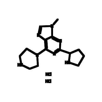 Cl.Cl.Cn1cnc2c(N3CCNCC3)nc(C3CCCN3)nc21